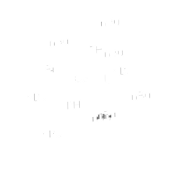 CCCC[PH](CCCC)(CCCC)[Co]([Br])([PH](CCCC)(CCCC)CCCC)[PH](CCCC)(CCCC)CCCC